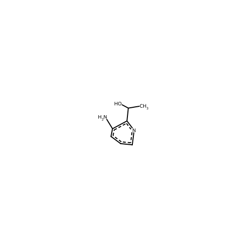 CC(O)c1ncccc1N